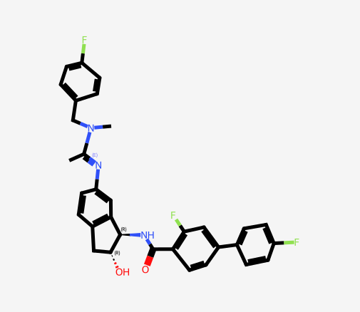 C/C(=N\c1ccc2c(c1)[C@@H](NC(=O)c1ccc(-c3ccc(F)cc3)cc1F)[C@H](O)C2)N(C)Cc1ccc(F)cc1